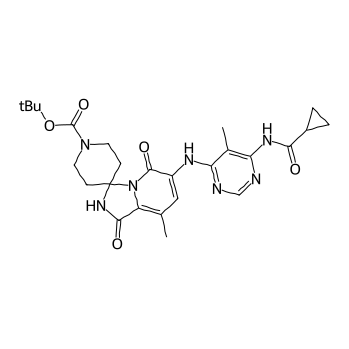 Cc1cc(Nc2ncnc(NC(=O)C3CC3)c2C)c(=O)n2c1C(=O)NC21CCN(C(=O)OC(C)(C)C)CC1